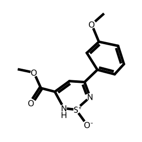 COC(=O)C1=CC(c2cccc(OC)c2)=N[S+]([O-])N1